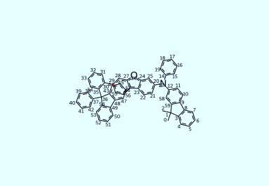 CC1(C)c2ccccc2-c2ccc(N(c3ccccc3)c3ccc4c(c3)oc3cc(-c5ccccc5C5(c6ccccc6)c6ccccc6-c6ccccc65)ccc34)cc21